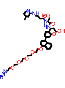 Cc1ccnc(NCCCC(=O)NC(CO)C(=O)NC(CC(=O)O)c2ccc(-c3ccc(OCCOCCOCCOCCOCCN=[N+]=[N-])c4ccccc34)cc2)c1